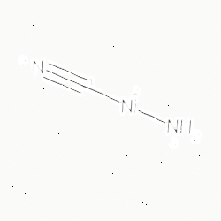 N#[C][Ni][NH2]